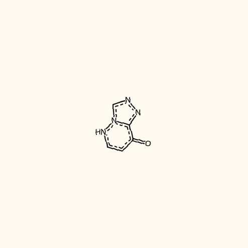 O=c1cc[nH]n2cnnc12